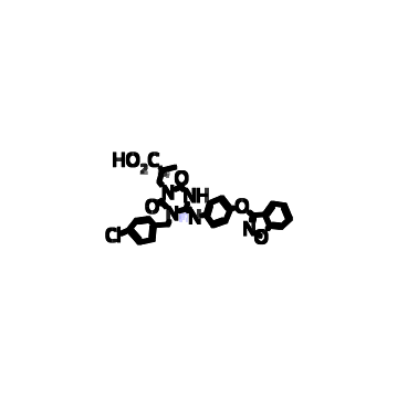 C[C@@H](Cn1c(=O)[nH]/c(=N\c2ccc(Oc3noc4ccccc34)cc2)n(Cc2ccc(Cl)cc2)c1=O)C(=O)O